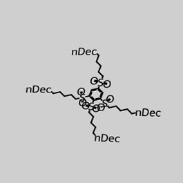 CCCCCCCCCCCCCCCS(=O)(=O)c1cc(S(=O)(=O)CCCCCCCCCCCCCCC)c(S(=O)(=O)CCCCCCCCCCCCCCC)c(S(=O)(=O)CCCCCCCCCCCCCCC)c1